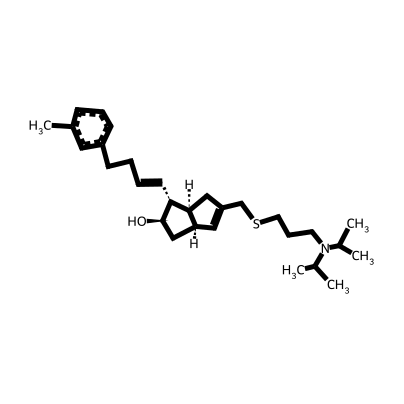 Cc1cccc(CC/C=C/[C@@H]2[C@H]3CC(CSCCCN(C(C)C)C(C)C)=C[C@H]3C[C@H]2O)c1